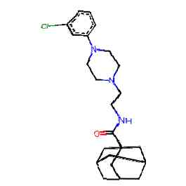 O=C(NCCN1CCN(c2cccc(Cl)c2)CC1)C12CC3CC(CC(C3)C1)C2